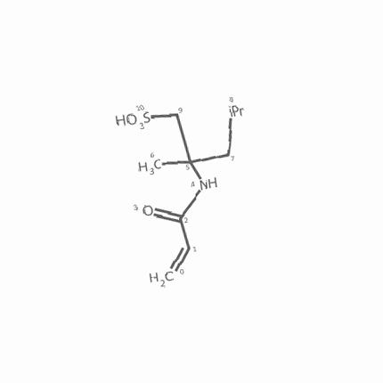 C=CC(=O)NC(C)(CC(C)C)CS(=O)(=O)O